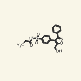 CCC(=O)NS(=O)(=O)c1ccc(-c2c(-c3ccccc3)noc2CO)cc1